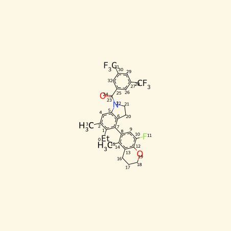 CCc1c(C)cc2c(c1-c1cc(F)c3c(c1C)CCCO3)CCN2C(=O)c1cc(C(F)(F)F)cc(C(F)(F)F)c1